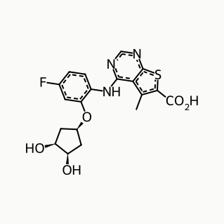 Cc1c(C(=O)O)sc2ncnc(Nc3ccc(F)cc3O[C@H]3C[C@@H](O)[C@@H](O)C3)c12